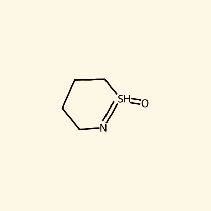 O=[SH]1=NCCCC1